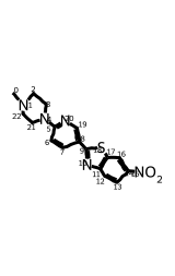 CN1CCN(c2ccc(-c3nc4ccc([N+](=O)[O-])cc4s3)cn2)CC1